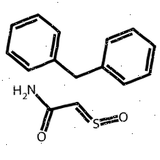 NC(=O)C=S=O.c1ccc(Cc2ccccc2)cc1